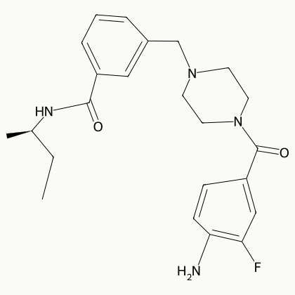 CC[C@@H](C)NC(=O)c1cccc(CN2CCN(C(=O)c3ccc(N)c(F)c3)CC2)c1